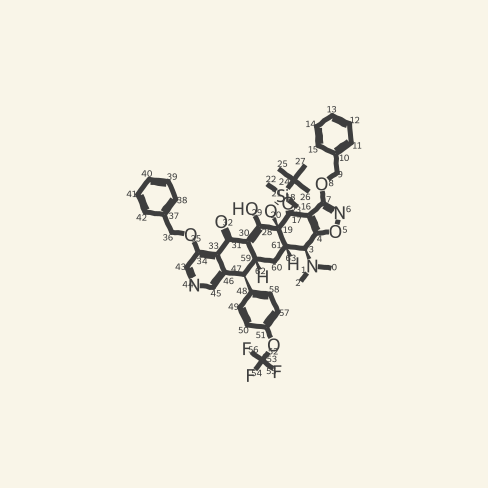 CN(C)[C@@H]1c2onc(OCc3ccccc3)c2C(=O)[C@@]2(O[Si](C)(C)C(C)(C)C)C(O)=C3C(=O)c4c(OCc5ccccc5)cncc4[C@H](c4ccc(OC(F)(F)F)cc4)[C@H]3C[C@@H]12